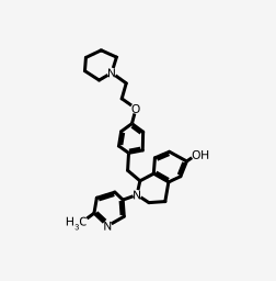 Cc1ccc(N2CCc3cc(O)ccc3C2Cc2ccc(OCCN3CCCCC3)cc2)cn1